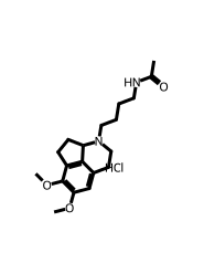 COc1cc2c3c(c1OC)CCC3N(CCCCNC(C)=O)CC2.Cl